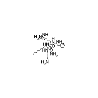 CCCCCCCCC(NC(=O)C(CCCNC(=N)N)NC(=O)C(N)Cc1ccccc1)C(=O)NC(CCCCN)C(N)=O